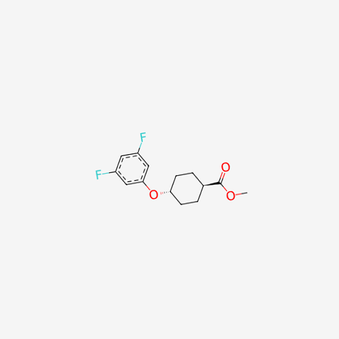 COC(=O)[C@H]1CC[C@H](Oc2cc(F)cc(F)c2)CC1